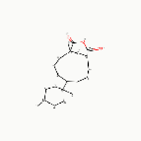 CC1CCC(C)(C2CCCC3CC(C)(CCC2)C(=O)OC3=O)CC1